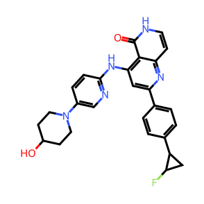 O=c1[nH]ccc2nc(-c3ccc(C4CC4F)cc3)cc(Nc3ccc(N4CCC(O)CC4)cn3)c12